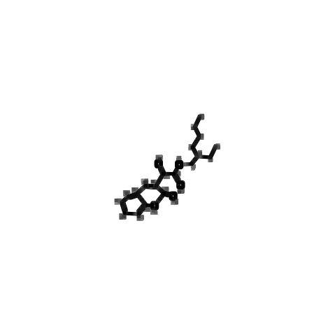 CCCCC(CC)COC(=O)C(=O)c1cc2ccccc2oc1=O